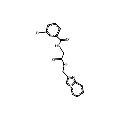 O=C(CNC(=O)c1cccc(Br)c1)NCc1cn2ccccc2n1